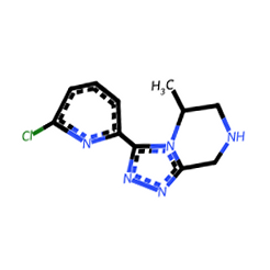 CC1CNCc2nnc(-c3cccc(Cl)n3)n21